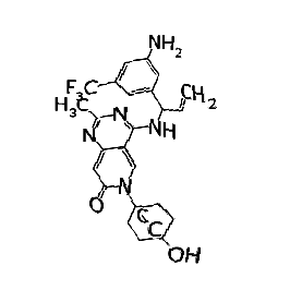 C=CC(Nc1nc(C)nc2cc(=O)n(C34CCC(O)(CC3)CC4)cc12)c1cc(N)cc(C(F)(F)F)c1